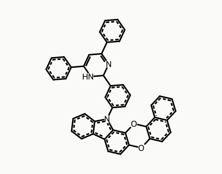 C1=C(c2ccccc2)NC(c2cccc(-n3c4ccccc4c4ccc5c(c43)Oc3c(ccc4ccccc34)O5)c2)N=C1c1ccccc1